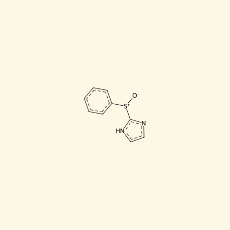 [O-][S+](c1ccccc1)c1ncc[nH]1